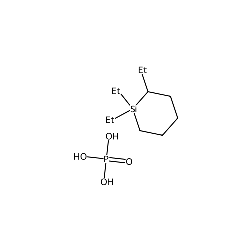 CCC1CCCC[Si]1(CC)CC.O=P(O)(O)O